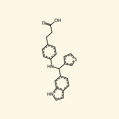 O=C(O)CCc1ccc(NC(c2ccsc2)c2ccc3cc[nH]c3c2)cc1